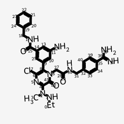 CCNN(C)c1nc(Cl)c(-c2cc(N)cc(C(=O)NCc3ccccc3)c2)n(CC(=O)NCc2ccc(C(=N)N)cc2)c1=O